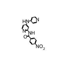 O=C(Nc1cc(Nc2ccncc2)ccn1)c1ccc([N+](=O)[O-])cc1